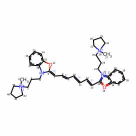 C[N+]1(CCCN2/C(=C/C=C/C=C/C=C/c3oc4ccccc4[n+]3CCC[N+]3(C)CCCC3)Oc3ccccc32)CCCC1